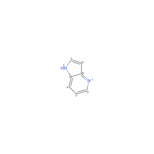 [c]1c[nH]c2cccnc12